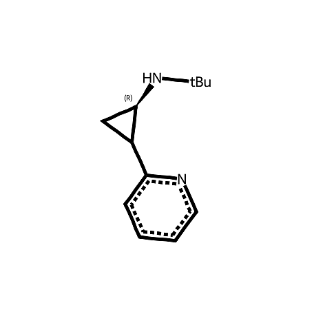 CC(C)(C)N[C@@H]1CC1c1ccccn1